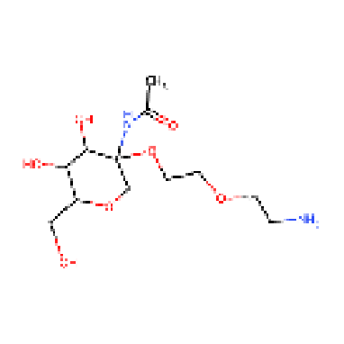 CC(=O)NC1(OCCOCCN)COC(CO)C(O)C1O